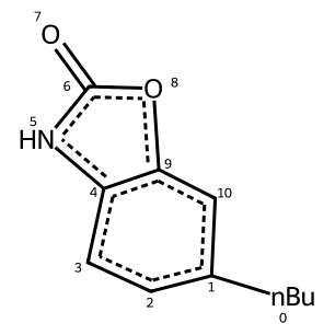 [CH2]CCCc1ccc2[nH]c(=O)oc2c1